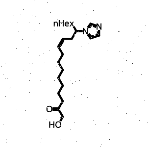 CCCCCCC(C/C=C\CCCCCCCC(=O)CO)n1ccnc1